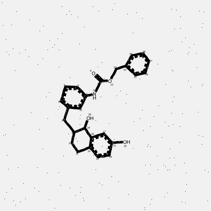 O=C(Nc1cccc(CC2CCc3ccc(O)cc3C2O)c1)OCc1ccccc1